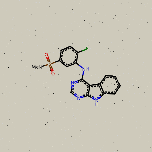 CNS(=O)(=O)c1ccc(F)c(Nc2ncnc3[nH]c4ccccc4c23)c1